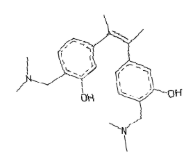 C/C(=C(\C)c1ccc(CN(C)C)c(O)c1)c1ccc(CN(C)C)c(O)c1